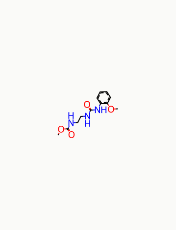 COC(=O)NCCNC(=O)Nc1ccccc1OC